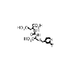 O=C(O)CCC(NC(=O)NC(CSCc1ccnc(F)c1)C(=O)O)C(=O)O